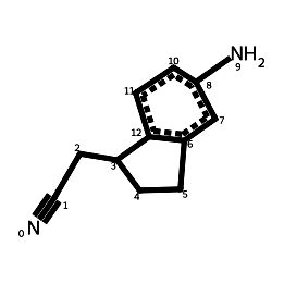 N#CCC1CCc2cc(N)ccc21